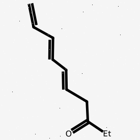 C=CC=CC=CCC(=O)CC